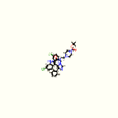 C[C@@H](c1ccc(Cl)cc1)n1cnc(-c2ccccc2)c1-c1c(C(=O)NCCN2CCN(C(=O)OC(C)(C)C)CC2)[nH]c2cc(Cl)ccc12